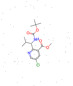 COC(=O)c1cc(Cl)cnc1C(NC(=O)OC(C)(C)C)C(C)C